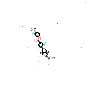 CCCCCC[C@H]1CC[C@@H]2CC(c3c(F)cc(C(=O)Oc4ccc(C#N)c(F)c4)cc3F)CC[C@H]2C1